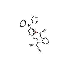 N#CC(C#N)=C1C(=Cc2ccc(N(c3ccccc3)c3ccccc3)cc2)C(=C(C#N)C#N)c2ccccc21